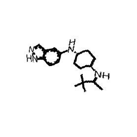 CC(N[C@H]1CC[C@H](Nc2ccc3[nH]ncc3c2)CC1)C(C)(C)C